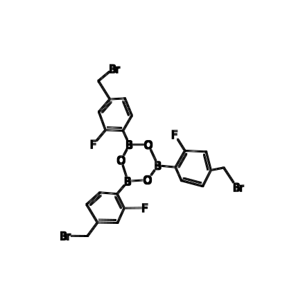 Fc1cc(CBr)ccc1B1OB(c2ccc(CBr)cc2F)OB(c2ccc(CBr)cc2F)O1